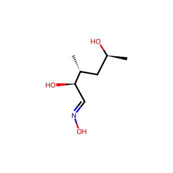 C[C@H](O)C[C@@H](C)[C@H](O)/C=N/O